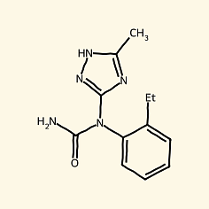 CCc1ccccc1N(C(N)=O)c1n[nH]c(C)n1